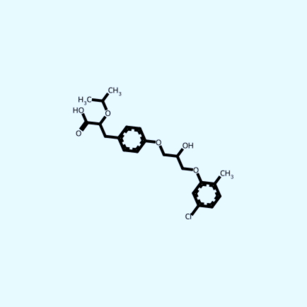 Cc1ccc(Cl)cc1OCC(O)COc1ccc(CC(OC(C)C)C(=O)O)cc1